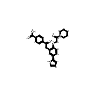 O=C(O)c1ccc(C(=O)Cc2cc(-c3cccs3)ccc2OCC(=O)N2CCCCC2)cc1